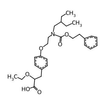 CCOC(Cc1ccc(OCCN(CC(CC)CC)C(=O)OCCc2ccccc2)cc1)C(=O)O